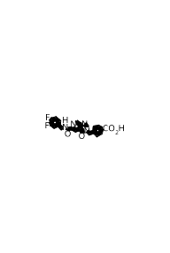 O=C(O)c1ccc(Cn2cnc3cnc(C(=O)NCc4ccc(F)c(F)c4)cc3c2=O)cc1